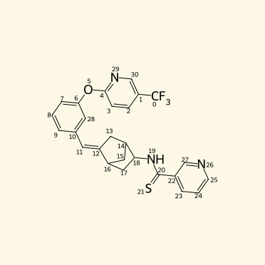 FC(F)(F)c1ccc(Oc2cccc(/C=C3\CC4CC3CC4NC(=S)c3cccnc3)c2)nc1